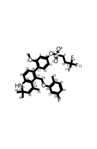 COc1cc(OS(=O)(=O)CCC(F)(F)F)ccc1-c1ccc2c(c1COc1cc(F)ccc1C)C(C)=CC(C)(C)N2